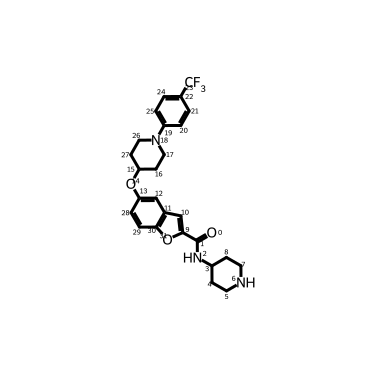 O=C(NC1CCNCC1)c1cc2cc(OC3CCN(c4ccc(C(F)(F)F)cc4)CC3)ccc2o1